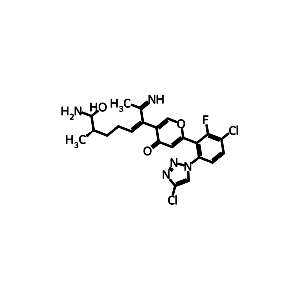 CC(=N)/C(=C\CC[C@@H](C)C(N)O)c1coc(-c2c(-n3cc(Cl)nn3)ccc(Cl)c2F)cc1=O